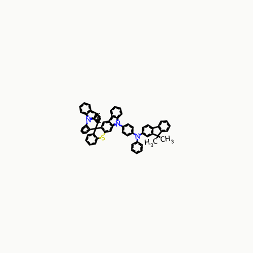 CC1(C)c2ccccc2-c2ccc(N(c3ccccc3)c3ccc(-n4c5ccccc5c5cc6c(cc54)Sc4ccccc4C64c5ccccc5-n5c6ccccc6c6cccc4c65)cc3)cc21